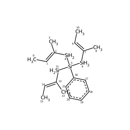 CC=C(C)[SiH2][Si]([SiH2]C(C)=CC)([SiH2]C(C)=CC)c1ccccc1